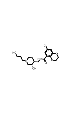 N#CCCCN1CC[C@@H](CNC(=O)c2cc(Cl)cc3c2OCCO3)[C@H](O)C1